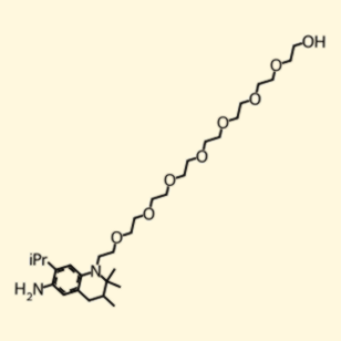 CC(C)c1cc2c(cc1N)CC(C)C(C)(C)N2CCOCCOCCOCCOCCOCCOCCOCCO